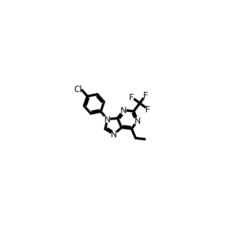 CCc1nc(C(F)(F)F)nc2c1ncn2-c1ccc(Cl)cc1